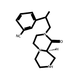 CC(CN1CCN2CCNC[C@@H]2C1=O)c1cccc(C#N)c1